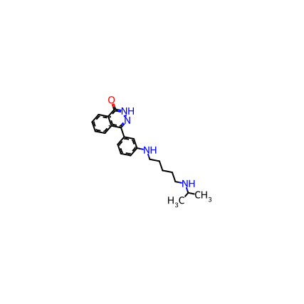 CC(C)NCCCCCNc1cccc(-c2n[nH]c(=O)c3ccccc23)c1